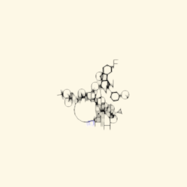 COc1cccc(-c2nc(O[C@@H]3C[C@H]4C(=O)N[C@]5(C(=O)NS(=O)(=O)C6CC6)C[C@H]5/C=C\CCCCC[C@H](NC(=O)OC(C)(C)C)C(=O)N4C3)c3oc4ccc(F)cc4c3n2)c1